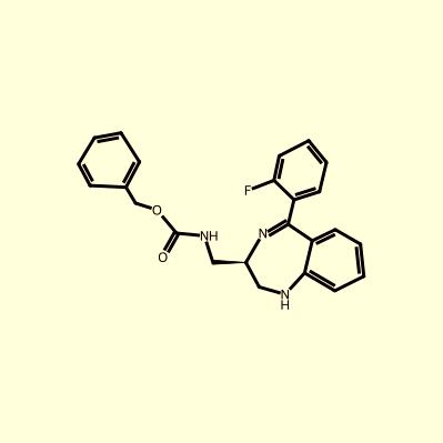 O=C(NC[C@@H]1CNc2ccccc2C(c2ccccc2F)=N1)OCc1ccccc1